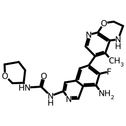 Cc1c(-c2cc3cc(NC(=O)N[C@H]4CCCOC4)ncc3c(N)c2F)cnc2c1NCCO2